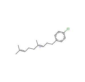 CC(C)=CCC/C(C)=C/CCc1ccc(Cl)cc1